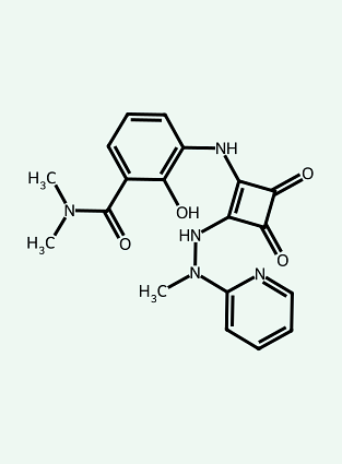 CN(C)C(=O)c1cccc(Nc2c(NN(C)c3ccccn3)c(=O)c2=O)c1O